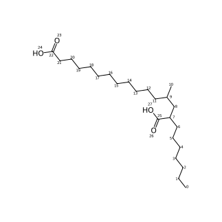 CCCCCCCC(CC(C)CCCCCCCCCCCC(=O)O)C(=O)O